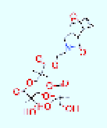 CC(CO)(CO)C(=O)OCC(C)(COC(=O)C(C)(CO)CO)C(=O)OCCN1CC2C(C1=O)C1C=CC13OC23